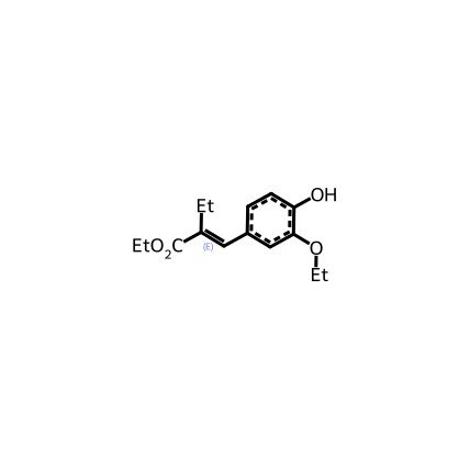 CCOC(=O)/C(=C/c1ccc(O)c(OCC)c1)CC